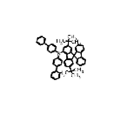 CC(C)(C)c1ccc2c(c1)C1(c3ccccc3-c3ccccc31)c1cc(C(C)(C)C)cc(N(c3ccc(-c4ccccc4)cc3)c3ccc(-c4ccccc4)cc3)c1-2